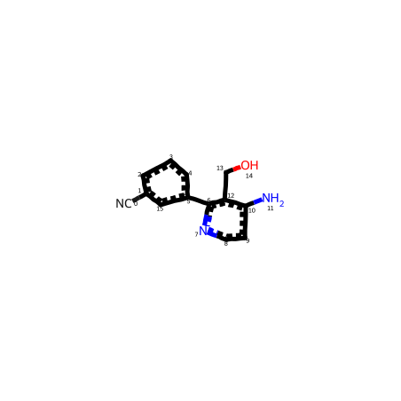 N#Cc1cccc(-c2nccc(N)c2CO)c1